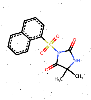 CC1(C)NC(=O)N(S(=O)(=O)c2cccc3ccccc23)C1=O